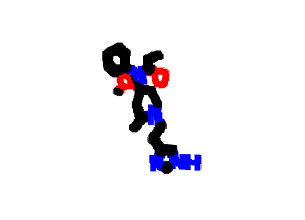 CCC(=O)N(c1ccccc1)C1(OC)CCN(CCc2c[nH]cn2)C(C)C1